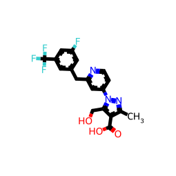 Cc1nn(-c2ccnc(Cc3cc(F)cc(C(F)(F)F)c3)c2)c(CO)c1C(=O)O